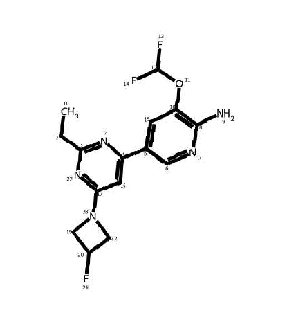 CCc1nc(-c2cnc(N)c(OC(F)F)c2)cc(N2CC(F)C2)n1